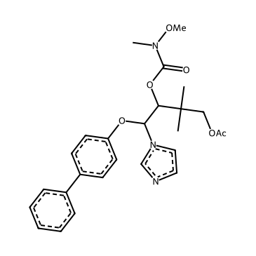 CON(C)C(=O)OC(C(Oc1ccc(-c2ccccc2)cc1)n1ccnc1)C(C)(C)COC(C)=O